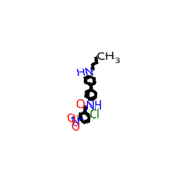 CCCCCNc1ccc(-c2ccc(NC(=O)c3cc([N+](=O)[O-])ccc3Cl)cc2)cc1